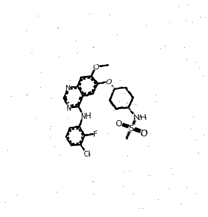 COc1cc2ncnc(Nc3cccc(Cl)c3F)c2cc1O[C@H]1CC[C@H](NS(C)(=O)=O)CC1